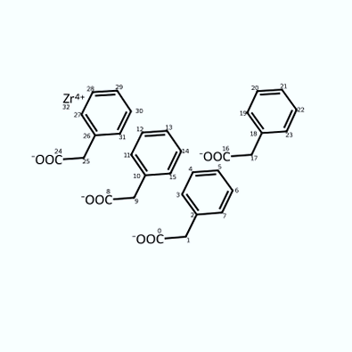 O=C([O-])Cc1ccccc1.O=C([O-])Cc1ccccc1.O=C([O-])Cc1ccccc1.O=C([O-])Cc1ccccc1.[Zr+4]